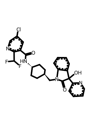 O=C(N[C@H]1CC[C@H](CN2C(=O)C(O)(c3ccccn3)c3ccccc32)CC1)c1cc(Cl)cnc1C(F)F